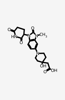 Cn1c(=O)n(C2CCC(=O)NC2=O)c2ccc(N3CCC(O)(CC(=O)O)CC3)cc21